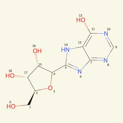 OC[C@@H]1OC(c2nc3ncnc(O)c3[nH]2)[C@@H](O)[C@H]1O